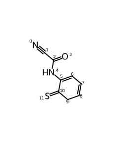 N#CC(=O)NC1=CC=CCC1=S